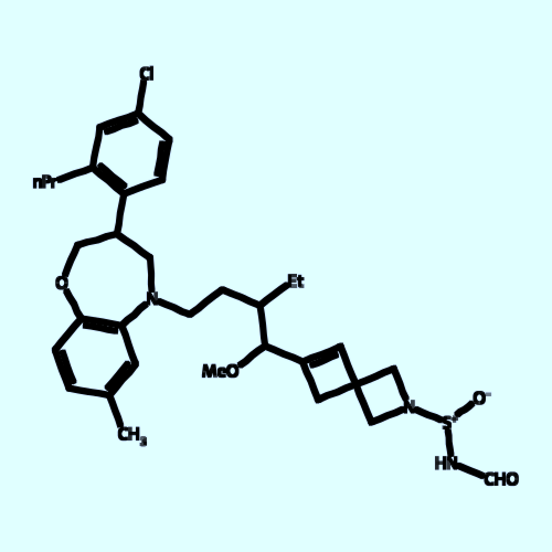 CCCc1cc(Cl)ccc1C1COc2ccc(C)cc2N(CCC(CC)C(OC)C2=CC3(C2)CN([S+]([O-])NC=O)C3)C1